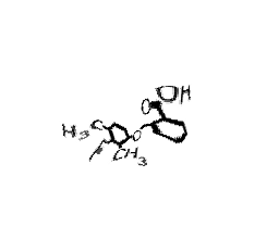 Cc1ccc(OCc2ccccc2C(=O)O)c(C)c1F